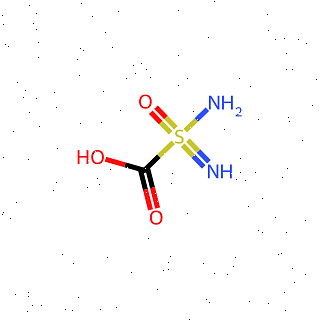 N=S(N)(=O)C(=O)O